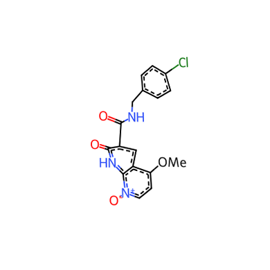 COc1cc[n+]([O-])c2[nH]c(=O)c(C(=O)NCc3ccc(Cl)cc3)cc12